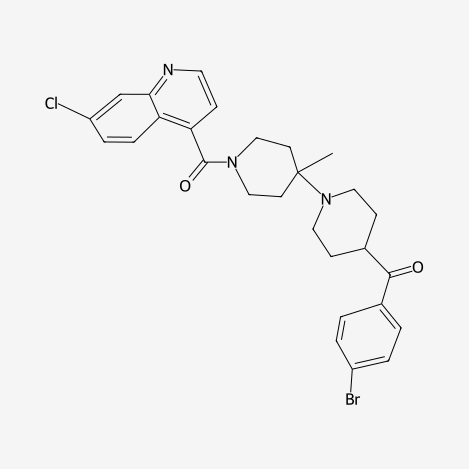 CC1(N2CCC(C(=O)c3ccc(Br)cc3)CC2)CCN(C(=O)c2ccnc3cc(Cl)ccc23)CC1